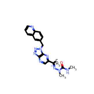 CNC(=O)N(C)/N=C(\C)c1cnc2nnn(Cc3ccc4ncccc4c3)c2n1